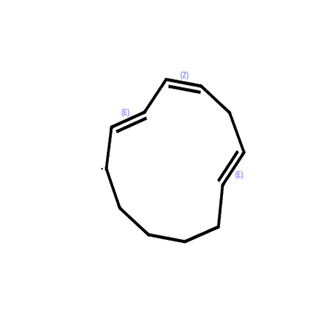 [CH]1/C=C/C=C\C/C=C/CCCC1